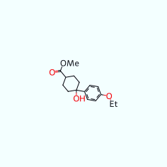 CCOc1ccc(C2(O)CCC(C(=O)OC)CC2)cc1